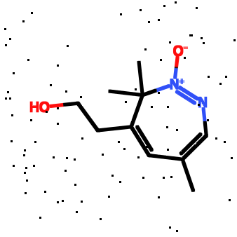 CC1=CN=[N+]([O-])C(C)(C)C(CCO)=C1